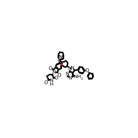 Nc1ncnc2c1c(-c1ccc(Oc3ccccc3)cc1)nn2C1CCC(CN2C3CCC2CN(c2ccc4c(c2)C(=O)N(C2CCC(=O)NC2=O)C4=O)C3)CC1